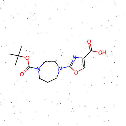 CC(C)(C)OC(=O)N1CCCN(c2nc(C(=O)O)co2)CC1